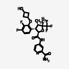 C[C@H]1[C@@H](c2ccc(F)c(F)c2O[C@H]2C[C@@H](O)C2)[C@H](C(=O)Nc2ccnc(C(N)=O)c2)O[C@@]1(C)C(F)(F)F